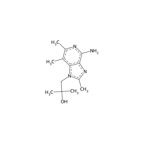 Cc1nc(N)c2nc(C)n(CC(C)(C)O)c2c1C